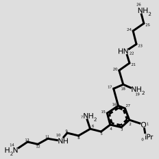 CC(C)Oc1cc(CC(N)CCNCCCN)cc(CC(N)CCNCCCN)c1